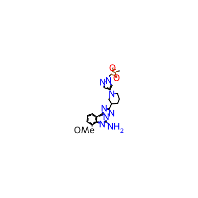 COc1cccc2c1nc(N)n1nc(C3CCCN(c4cnn(CS(C)(=O)=O)c4)C3)nc21